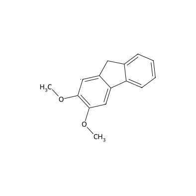 COc1[c]c2c(cc1OC)-c1ccccc1C2